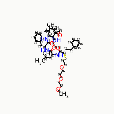 COCCOCCOCCS[C@@H](CCc1ccccc1)C(=O)N[C@@H](CC(C)C)C(=O)N[C@@H](Cc1ccccc1)C(=O)N[C@@H](CC(C)C)C(=N)[C@@]1(C)CO1